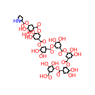 O=C(O)c1cc(O)c(O)c(OC(=O)c2cc(O)c(O)c(OC(=O)c3cc(O)c(O)c(OC(=O)c4cc(O)c(O)c(OC(=O)c5cc(O)c(O)c(OC(=O)c6cc(O)c(O)c(OC(=O)c7cc(O)c(O)c(OC(=O)c8ccc[nH]8)c7)c6)c5)c4)c3)c2)c1